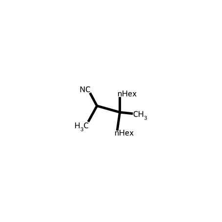 CCCCCCC(C)(CCCCCC)C(C)C#N